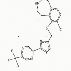 FC(F)(F)c1ccc(-c2nc(CSc3c(Cl)ccc4c3CCNCC4)cs2)cc1